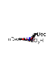 CCCCCCCCCCCCCCCCCCCCCCSC[C@H](NC(=O)CCCCCCCCCCCCCCC)C(=O)O